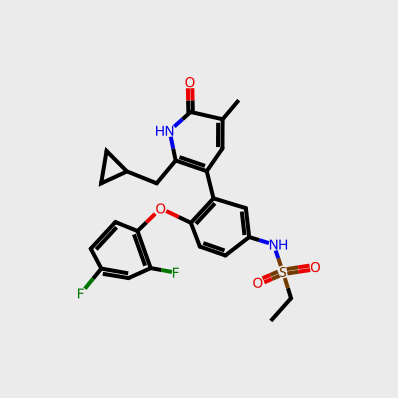 CCS(=O)(=O)Nc1ccc(Oc2ccc(F)cc2F)c(-c2cc(C)c(=O)[nH]c2CC2CC2)c1